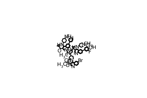 CC(C)S(=O)(=O)c1cnc2ccc(Br)cc2c1N1CCC(C(CC(=O)C2(c3cnc4ccc(-c5cc(F)c(O)c(Cl)c5)cc4c3NC3CCN(C)CC3)CC2)N(C)C)CC1.N[C@H]1CC[C@H](Nc2c(C(=O)C3CC3)cnc3ccc(-c4ccnc(F)c4)cc23)CC1